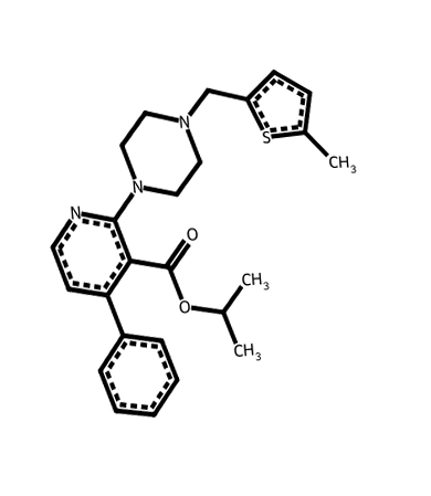 Cc1ccc(CN2CCN(c3nccc(-c4ccccc4)c3C(=O)OC(C)C)CC2)s1